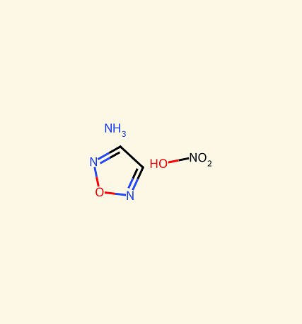 N.O=[N+]([O-])O.c1cnon1